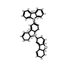 C1=CC2C3=CC(N4C5CC=C(n6c7ccccc7c7ccccc76)C=C5C5C=CCCC54)CC=C3OC2CC1